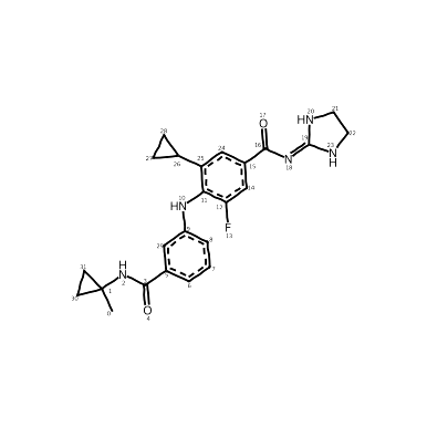 CC1(NC(=O)c2cccc(Nc3c(F)cc(C(=O)N=C4NCCN4)cc3C3CC3)c2)CC1